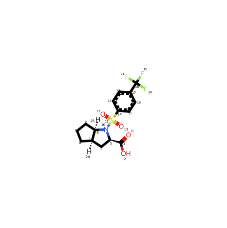 O=C(O)[C@H]1C[C@H]2CCC[C@H]2N1S(=O)(=O)c1ccc(C(F)(F)F)cc1